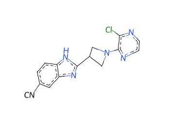 [C-]#[N+]c1ccc2[nH]c(C3CN(c4nccnc4Cl)C3)nc2c1